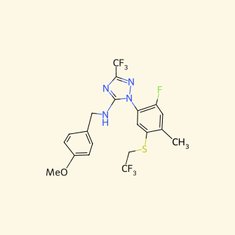 COc1ccc(CNc2nc(C(F)(F)F)nn2-c2cc(SCC(F)(F)F)c(C)cc2F)cc1